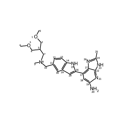 COCC(COC)CN(C)Cc1ccc2[nH]c(-c3cc(N)nc4[nH]c(C)nc34)cc2c1